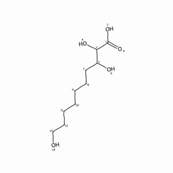 O=C(O)C(O)C(O)CCCCCCCO